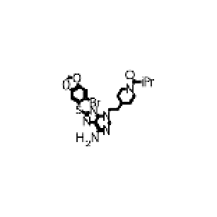 CC(C)C(=O)N1CCC(CCn2cnc(N)c3nc(Sc4cc5c(cc4Br)OCO5)nc2-3)CC1